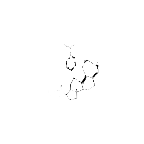 BP(C)[C@]1(O)CC[C@H]2[C@@H]3CCC4=CC(=O)CCC4=C3[C@@H](c3ccc(N(C)C)cc3)C[C@@]21C